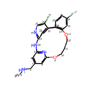 CC(C)NCc1cc2nc(c1)OCCCOc1cc(F)ccc1-c1cc(ncc1F)N2